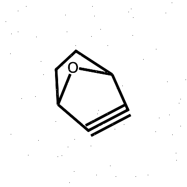 C1#CC2CCC1O2